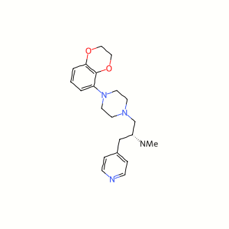 CN[C@H](Cc1ccncc1)CN1CCN(c2cccc3c2OCCO3)CC1